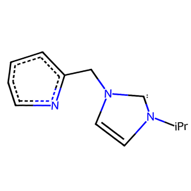 CC(C)N1[C]N(Cc2ccccn2)C=C1